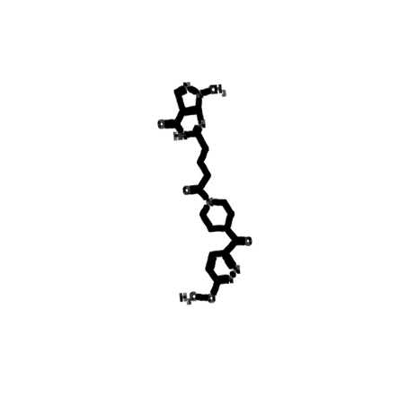 COc1ccc(C(=O)C2CCN(C(=O)CCCc3nc4c(cnn4C)c(=O)[nH]3)CC2)nn1